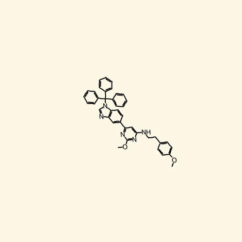 COc1ccc(CCNc2cc(-c3ccc4c(c3)ncn4C(c3ccccc3)(c3ccccc3)c3ccccc3)nc(OC)n2)cc1